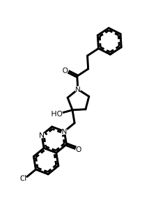 O=C(CCc1ccccc1)N1CCC(O)(Cn2cnc3cc(Cl)ccc3c2=O)C1